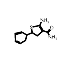 NC(=O)C1=C(N)SC(C2C=CC=CC2)C1